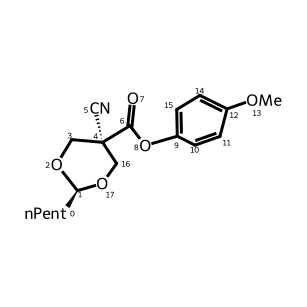 CCCCC[C@H]1OC[C@@](C#N)(C(=O)Oc2ccc(OC)cc2)CO1